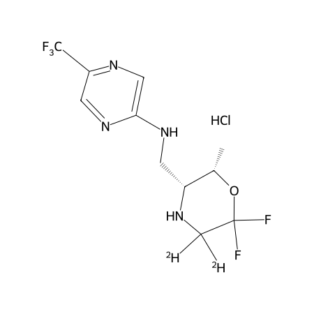 Cl.[2H]C1([2H])N[C@H](CNc2cnc(C(F)(F)F)cn2)[C@H](C)OC1(F)F